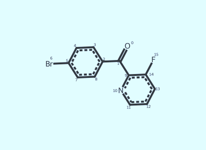 O=C(c1ccc(Br)cc1)c1ncccc1F